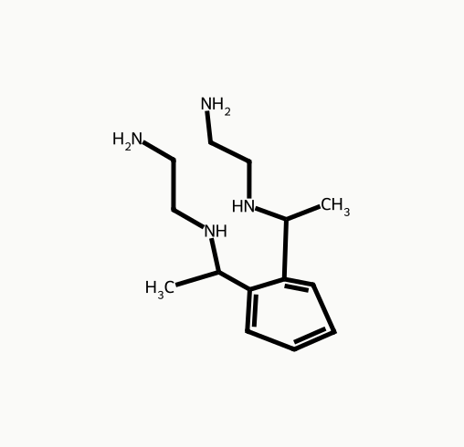 CC(NCCN)c1ccccc1C(C)NCCN